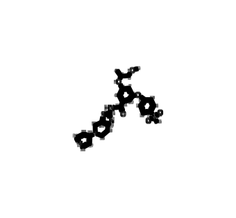 COCC(C)Oc1cc(Oc2ccc(S(C)(=O)=O)cc2)cc(C(=O)Nc2nc3c(s2)CN(c2ccncc2)CC3)c1